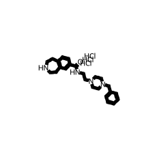 Cl.Cl.Cl.O=C(NCCN1CCN(Cc2ccccc2)CC1)c1ccc2c(c1)CCNCC2